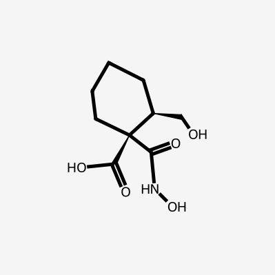 O=C(O)[C@@]1(C(=O)NO)CCCC[C@H]1CO